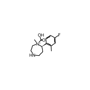 Cc1cc(F)ccc1[C@H]1CCNCC[N+]1(C)C(=O)O